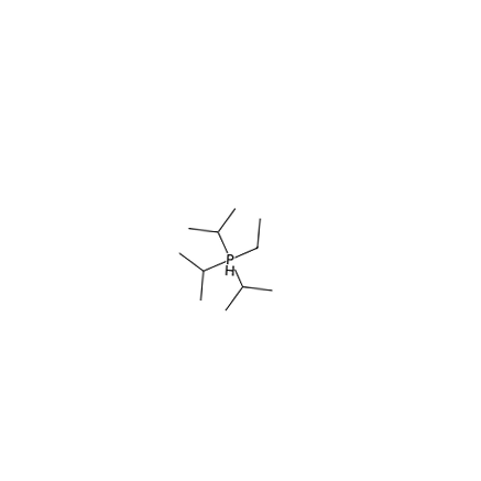 CC[PH](C(C)C)(C(C)C)C(C)C